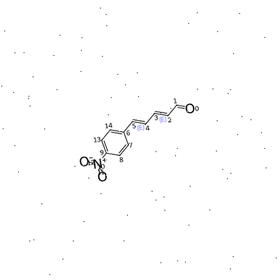 O=C/C=C/C=C/c1ccc([N+](=O)[O-])cc1